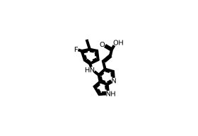 Cc1ccc(Nc2c(C=CC(=O)O)cnc3[nH]ccc23)cc1F